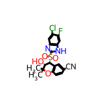 CC1(C)Oc2ccc(C#N)cc2[C@@H](S(=O)(=O)c2nc3cc(Cl)c(F)cc3[nH]2)[C@H]1O